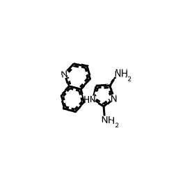 Nc1c[nH]c(N)n1.c1ccc2ncccc2c1